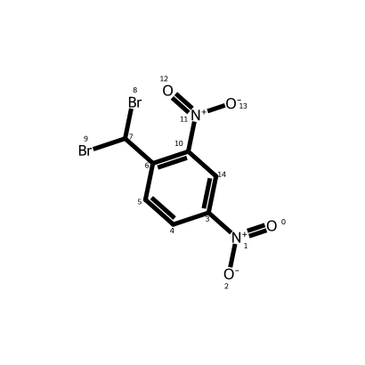 O=[N+]([O-])c1ccc(C(Br)Br)c([N+](=O)[O-])c1